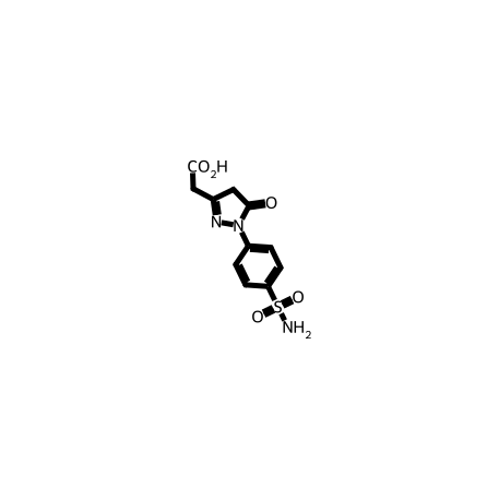 NS(=O)(=O)c1ccc(N2N=C(CC(=O)O)CC2=O)cc1